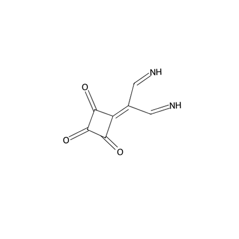 N=CC(C=N)=C1C(=O)C(=O)C1=O